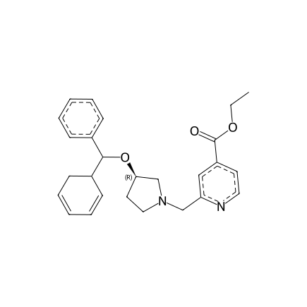 CCOC(=O)c1ccnc(CN2CC[C@@H](OC(c3ccccc3)C3C=CC=CC3)C2)c1